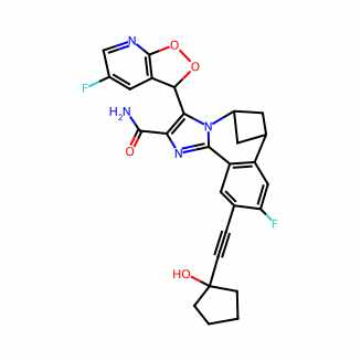 NC(=O)c1nc2n(c1C1OOc3ncc(F)cc31)C1CC(C1)c1cc(F)c(C#CC3(O)CCCC3)cc1-2